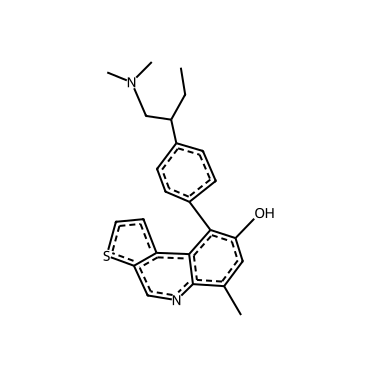 CCC(CN(C)C)c1ccc(-c2c(O)cc(C)c3ncc4sccc4c23)cc1